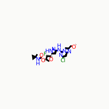 COCc1cn2c(Nc3cc([C@@H]4OC[C@H](OC(=O)NC5(C)CC5)[C@H]4F)[nH]n3)nc(Cl)cc2n1